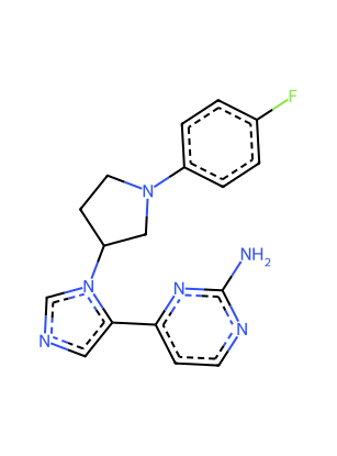 Nc1nccc(-c2cncn2C2CCN(c3ccc(F)cc3)C2)n1